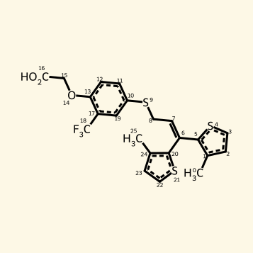 Cc1ccsc1C(=CCSc1ccc(OCC(=O)O)c(C(F)(F)F)c1)c1sccc1C